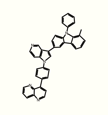 Cc1cccc2c3cc(-c4cn(-c5ccc(-c6ccnc7cccnc67)cc5)c5ccncc45)ccc3n(-c3ccccc3)c12